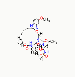 C=C[C@@H]1C[C@]1(NC(=O)[C@@H]1C[C@@H]2CN1C(=O)[C@H](C(C)(C)C)NC(=O)O[C@@H]1CCC[C@H]1CCCCCc1nc3ccc(OC)cc3nc1O2)C(=O)NS(=O)(=O)C1CC1